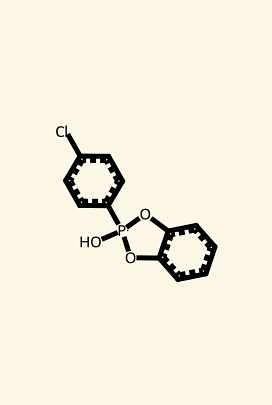 O[P]1(c2ccc(Cl)cc2)Oc2ccccc2O1